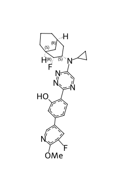 COc1ncc(-c2ccc(-c3ncc(N(C4CC4)[C@H]4C[C@@H]5CCC[C@@H](C5)[C@H]4F)nn3)c(O)c2)cc1F